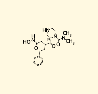 CN(C)C(=O)N1CCNC[C@H]1C(=O)C(CCc1ccccc1)CC(=O)NO